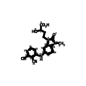 Cn1c(=O)n(CCC(O)C(=O)O)c2cc(Nc3ccnc(Cl)c3C#N)ccc21